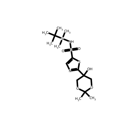 CC1(C)OCC(O)(c2ncc(S(=O)(=O)N[Si](C)(C)C(C)(C)C)s2)CO1